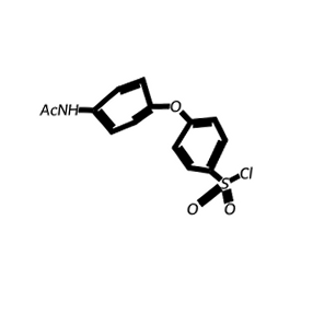 CC(=O)Nc1ccc(Oc2ccc(S(=O)(=O)Cl)cc2)cc1